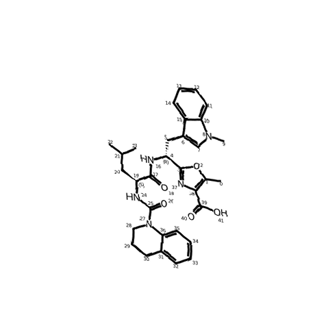 Cc1oc([C@@H](Cc2cn(C)c3ccccc23)NC(=O)[C@H](CC(C)C)NC(=O)N2CCCc3ccccc32)nc1C(=O)O